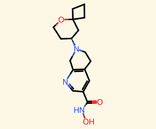 O=C(NO)c1cnc2c(c1)CCN([C@H]1CCOC3(CCC3)C1)C2